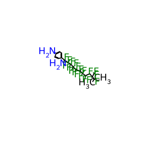 CC(C)(F)C(F)(CC(F)C(F)(F)C(F)(F)C(F)(F)C(F)(F)C(F)(F)C(F)(F)C(N)(F)c1ccc(N)cc1)C(F)(F)F